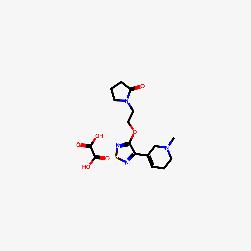 CN1CCC=C(c2nsnc2OCCN2CCCC2=O)C1.O=C(O)C(=O)O